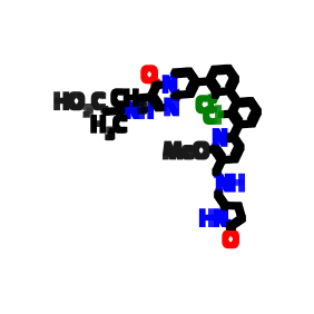 COc1nc(-c2cccc(-c3cccc(-c4ccn5c(=O)c(CNC(C)(C)CC(=O)O)cnc5c4)c3Cl)c2Cl)ccc1CNCC1CCC(=O)N1